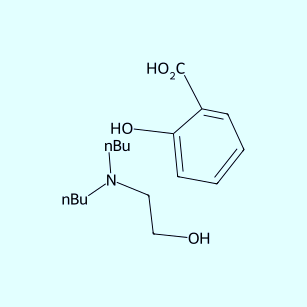 CCCCN(CCO)CCCC.O=C(O)c1ccccc1O